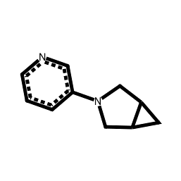 c1cncc(N2CC3CC3C2)c1